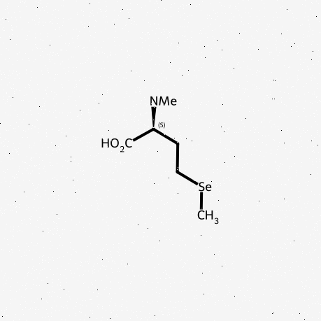 CN[C@@H](CC[Se]C)C(=O)O